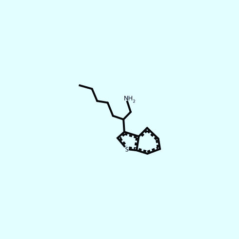 CCCCCC(CN)c1csc2ccccc12